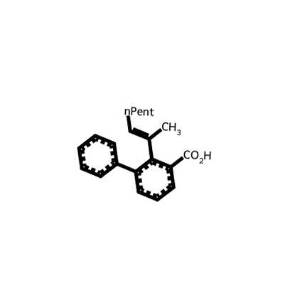 CCCCCC=C(C)c1c(C(=O)O)cccc1-c1ccccc1